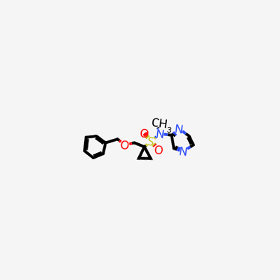 CN(c1cnccn1)S(=O)(=O)C1(COCc2ccccc2)CC1